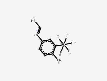 N#Cc1ccc(/N=C/S)cc1S(F)(F)(F)(F)F